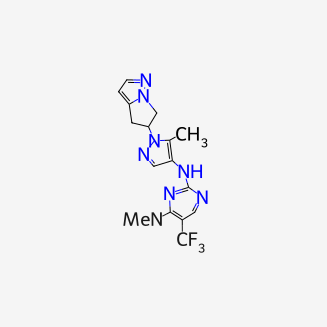 CNc1nc(Nc2cnn(C3Cc4ccnn4C3)c2C)ncc1C(F)(F)F